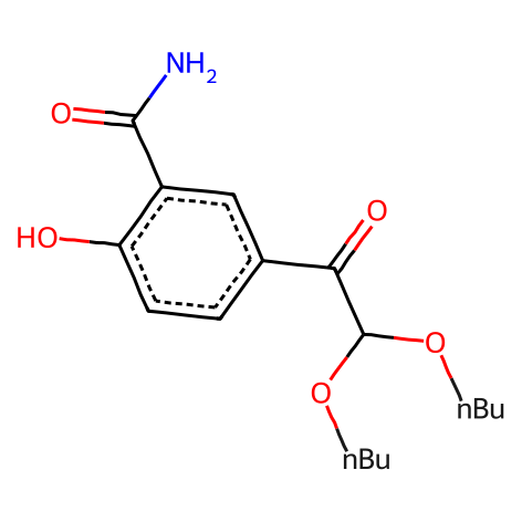 CCCCOC(OCCCC)C(=O)c1ccc(O)c(C(N)=O)c1